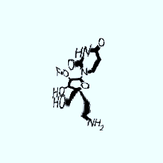 NCC[C@]1(CO)O[C@@H](n2ccc(=O)[nH]c2=O)[C@H](OF)[C@@H]1O